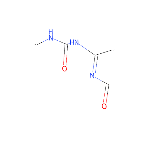 [CH2]NC(=O)NC([CH2])=NC=O